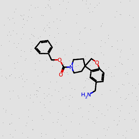 NCc1ccc2c(c1)C1(CCN(C(=O)OCc3ccccc3)CC1)CO2